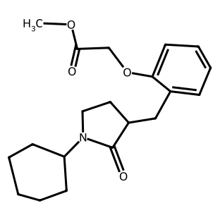 COC(=O)COc1ccccc1CC1CCN(C2CCCCC2)C1=O